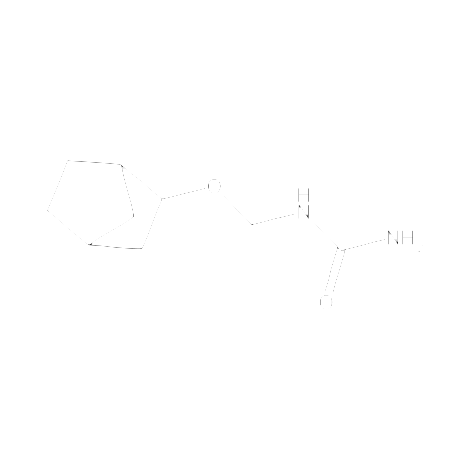 NC(=O)NCOC1CC2CCC1C2